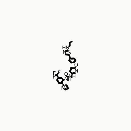 CCCNc1ncc(-c2ccc(Oc3ccc(NC(=O)Nc4cc(C(F)(F)F)ccc4-n4cccn4)cn3)cc2)s1